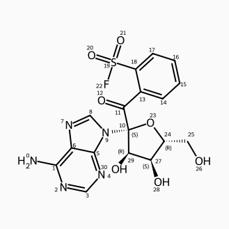 Nc1ncnc2c1ncn2[C@]1(C(=O)c2ccccc2S(=O)(=O)F)O[C@H](CO)[C@@H](O)[C@H]1O